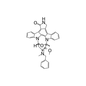 CO[C@@H]1[C@H](N(C)Cc2ccccc2)C[C@H]2O[C@]1(C)n1c3ccccc3c3c4c(c5c6ccccc6n2c5c31)C(=O)NC4